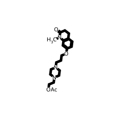 CC(=O)OCCN1CCN(CCCOc2ccc3c(c2)N(C)C(=O)CC3)CC1